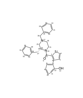 O=C(c1sccc1-c1ccccc1O)N1CCN(Cc2ccccc2)C[C@H]1Cc1ccccc1